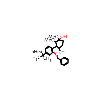 CCCCCCC(C)(C)c1ccc(C2C(C)CCC(O)(OC)C2OC)c(OCc2ccccc2)c1